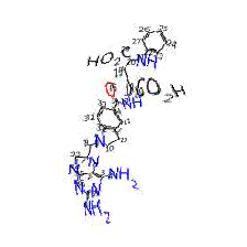 Nc1nc(N)c2nc(CN3CCc4cc(C(=O)N[C@H](CC(Nc5ccccc5)C(=O)O)C(=O)O)ccc43)cnc2n1